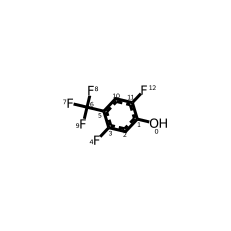 Oc1cc(F)c(C(F)(F)F)cc1F